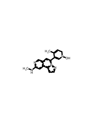 CNc1cc2c(cn1)cc(C1=CN(O)CC=C1C)n1nccc21